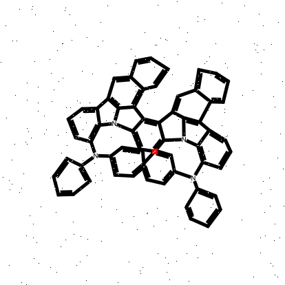 c1ccc(N(c2ccccc2)c2cccc3c4c5ccccc5cc5c6c7c8c9ccccc9cc9c%10cccc(N(c%11ccccc%11)c%11ccccc%11)c%10n(c7ccc6n(c23)c54)c98)cc1